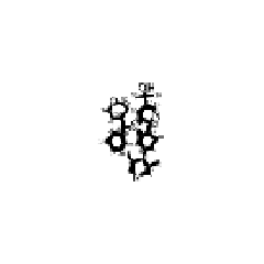 Cc1cncc(C)c1-c1ccc2c3ncc(C(C)(C)O)cc3n(C(c3ccccc3)C3CCOCC3)c2c1